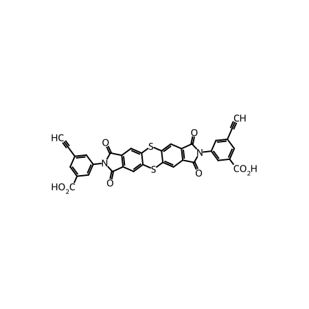 C#Cc1cc(C(=O)O)cc(-n2c(=O)c3cc4sc5cc6c(=O)n(-c7cc(C#C)cc(C(=O)O)c7)c(=O)c6cc5sc4cc3c2=O)c1